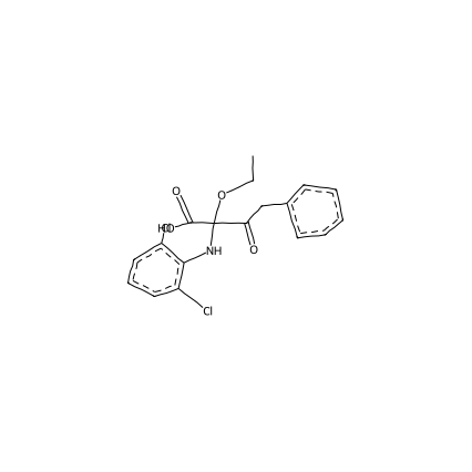 CCOC(Nc1c(Cl)cccc1Cl)(C(=O)O)C(=O)Cc1ccccc1